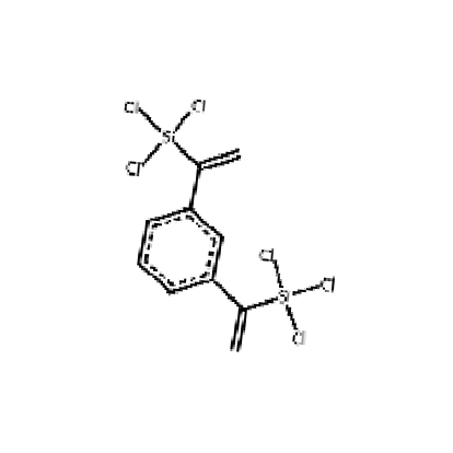 C=C(c1cccc(C(=C)[Si](Cl)(Cl)Cl)c1)[Si](Cl)(Cl)Cl